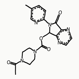 CC(=O)N1CCN(C(=O)OC2c3nccnc3C(=O)N2c2ccc(C)cn2)CC1